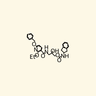 CCOc1nc(OCc2ccccc2)ccc1C(=O)NCC(O)COC(=O)NC1Cc2ccccc2C1